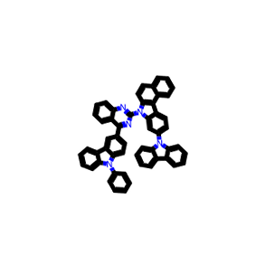 c1ccc(-n2c3ccccc3c3cc(-c4nc(-n5c6cc(-n7c8ccccc8c8ccccc87)ccc6c6c7ccccc7ccc65)nc5ccccc45)ccc32)cc1